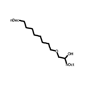 CCCCCCCCCCCCCCCCCCOCC(O)CCCCCCCC